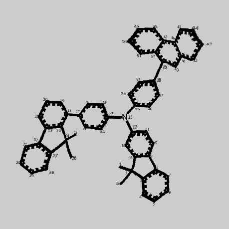 CC1(C)c2ccccc2-c2ccc(N(c3ccc(-c4cccc5c4C(C)(C)c4ccccc4-5)cc3)c3ccc(-c4cc5ccccc5c5ccccc45)cc3)cc21